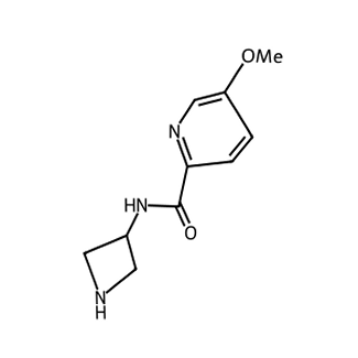 COc1ccc(C(=O)NC2CNC2)nc1